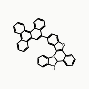 c1ccc2c(c1)NC1c3ccccc3-c3oc4ccc(-c5cc6c7ccccc7c7ccccc7c6c6ccccc56)cc4c3N21